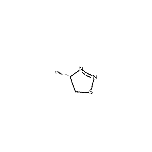 C[C@H]1CSN=N1